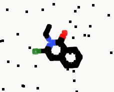 CCn1c(Cl)cc2ccccc2c1=O